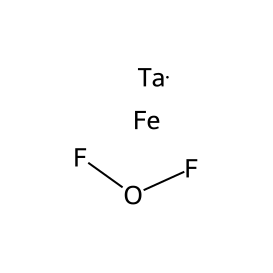 FOF.[Fe].[Ta]